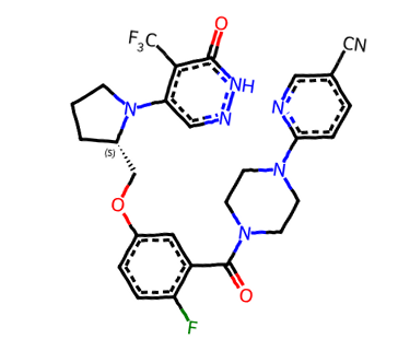 N#Cc1ccc(N2CCN(C(=O)c3cc(OC[C@@H]4CCCN4c4cn[nH]c(=O)c4C(F)(F)F)ccc3F)CC2)nc1